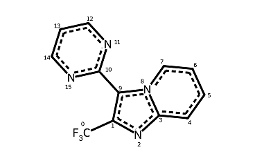 FC(F)(F)c1nc2ccccn2c1-c1ncccn1